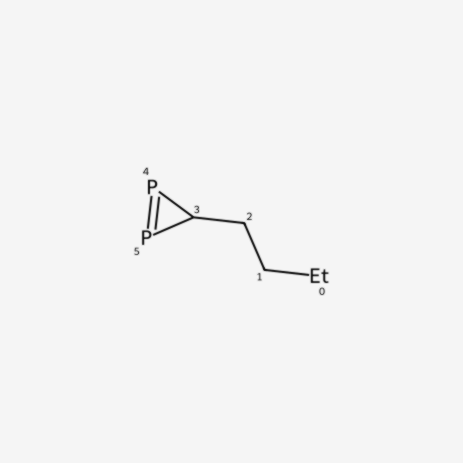 CCCCC1P=P1